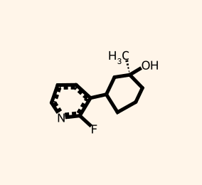 C[C@]1(O)CCCC(c2cccnc2F)C1